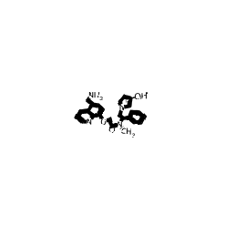 CN(C(=O)COc1ccc(CN)c2cccnc12)C(CN1CC[C@H](O)C1)c1ccccc1